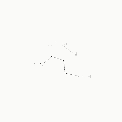 N[C@@H](CCC(=O)O)C(=O)O.O[SiH3]